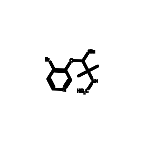 CC(C)(C)C(Oc1cnccc1Br)C(C)(C)NC(=O)O